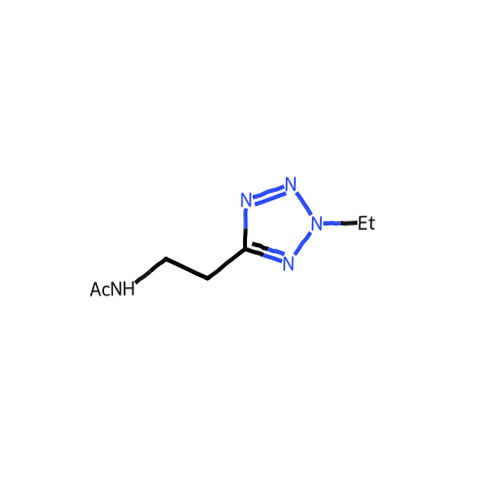 CCn1nnc(CCNC(C)=O)n1